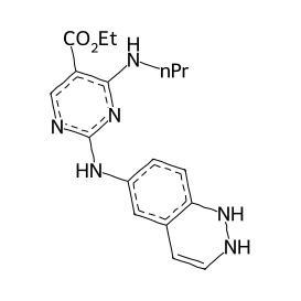 CCCNc1nc(Nc2ccc3c(c2)C=CNN3)ncc1C(=O)OCC